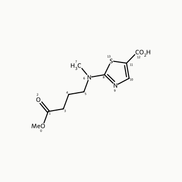 COC(=O)CCCN(C)c1ncc(C(=O)O)s1